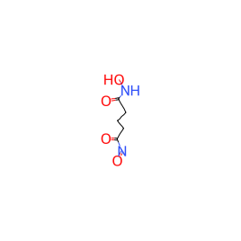 O=NC(=O)CCCC(=O)NO